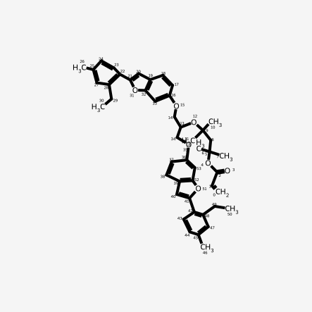 C=CC(=O)OC(C)(C)CC(C)(C)OC(COc1ccc2cc(-c3ccc(C)cc3CC)oc2c1)COc1ccc2cc(-c3ccc(C)cc3CC)oc2c1